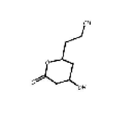 CCCC1CC(O)CC(=O)O1